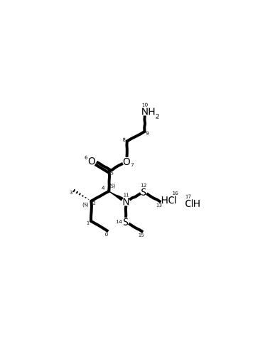 CC[C@H](C)[C@@H](C(=O)OCCN)N(SC)SC.Cl.Cl